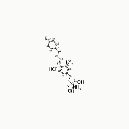 Cl.NC(CO)(CO)CCc1ccc(OCCCc2ccc(F)cc2)c(C(F)(F)F)c1